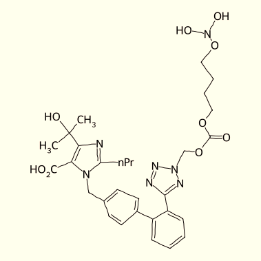 CCCc1nc(C(C)(C)O)c(C(=O)O)n1Cc1ccc(-c2ccccc2-c2nnn(COC(=O)OCCCCON(O)O)n2)cc1